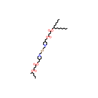 CCCCCCCCC(CCCCCC)COC(=O)CCC(=O)OCCC1CCN(CCSSCCN2CCC(CCOC(=O)CCC(=O)OC(C)CCCC)CC2)CC1